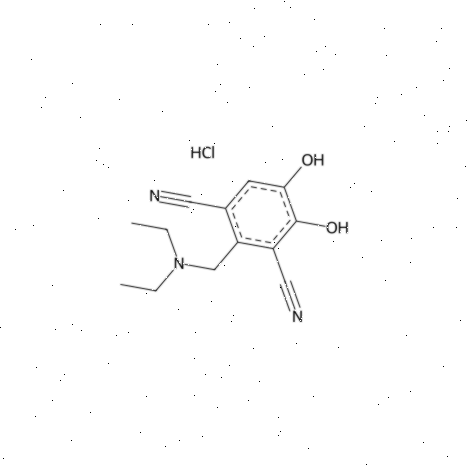 CCN(CC)Cc1c(C#N)cc(O)c(O)c1C#N.Cl